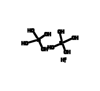 O[Si](O)(O)O.O[Si](O)(O)O.[Hf]